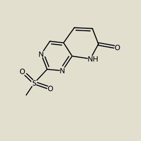 CS(=O)(=O)c1ncc2ccc(=O)[nH]c2n1